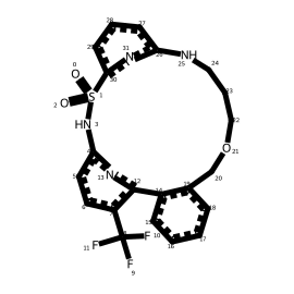 O=S1(=O)Nc2ccc(C(F)(F)F)c(n2)-c2ccccc2COCCCNc2cccc1n2